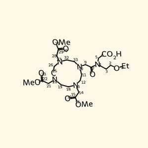 CCOCCN(CC(=O)O)C(=O)CN1CCN(CC(=O)OC)CCN(CC(=O)OC)CCN(CC(=O)OC)CC1